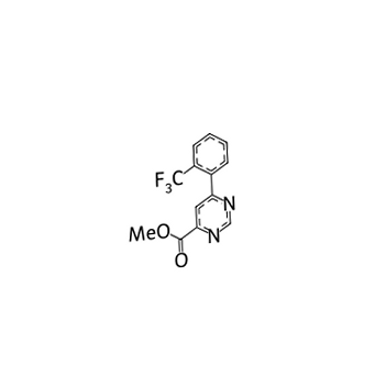 COC(=O)c1cc(-c2ccccc2C(F)(F)F)ncn1